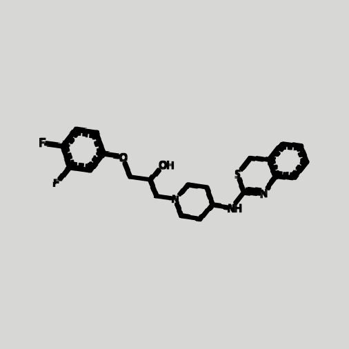 OC(COc1ccc(F)c(F)c1)CN1CCC(NC2=Nc3ccccc3CS2)CC1